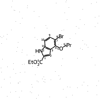 CCOC(=O)c1cc2c(OC(C)C)c(Br)ccc2[nH]1